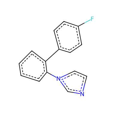 Fc1ccc(-c2ccccc2-n2ccnc2)cc1